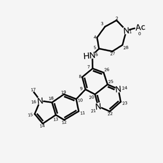 CC(=O)N1CCCC(Nc2cc(-c3ccc4ccn(C)c4c3)c3nccnc3c2)CC1